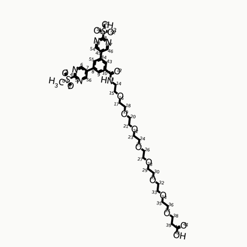 CS(=O)(=O)c1ncc(-c2cc(C(=O)NCCOCCOCCOCCOCCOCCOCCOCCOCCC(=O)O)cc(-c3cnc(S(C)(=O)=O)nc3)c2)cn1